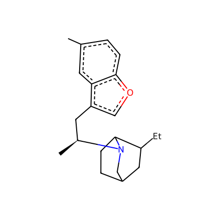 CCC1CC2CCC1N([C@@H](C)Cc1coc3ccc(C)cc13)C2